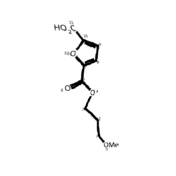 COCCCOC(=O)c1ccc(C(=O)O)o1